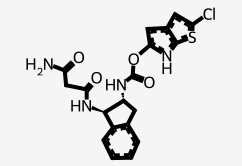 NC(=O)CC(=O)N[C@@H]1c2ccccc2C[C@H]1NC(=O)Oc1cc2cc(Cl)sc2[nH]1